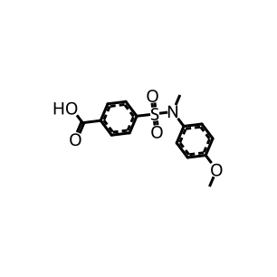 COc1ccc(N(C)S(=O)(=O)c2ccc(C(=O)O)cc2)cc1